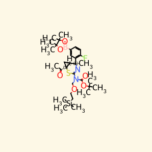 CC(=O)[C@]12C[C@H]1[C@@](C)(c1cc(B3OC(C)(C)C(C)(C)O3)ccc1F)N=C(N(COCC[Si](C)(C)C)C(=O)OC(C)(C)C)S2